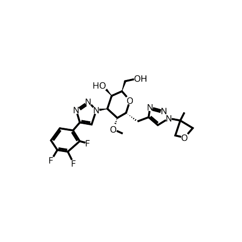 CO[C@@H]1[C@@H](n2cc(-c3ccc(F)c(F)c3F)nn2)[C@@H](O)[C@@H](CO)O[C@@H]1Cc1cn(C2(C)COC2)nn1